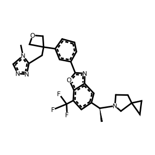 C[C@@H](c1cc(C(F)(F)F)c2oc(-c3cccc(C4(Cc5nncn5C)COC4)c3)nc2c1)N1CCC2(CC2)C1